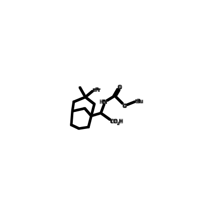 CCCC1(C)CC2CCCC(C(NC(=O)OC(C)(C)C)C(=O)O)(C2)C1